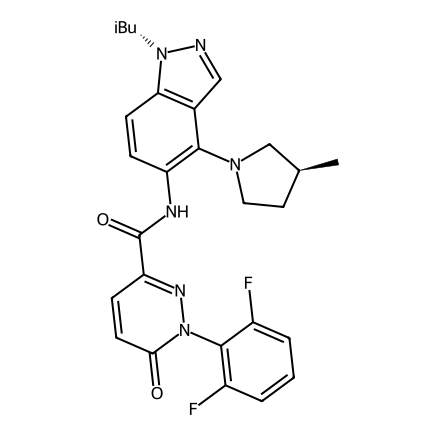 CC[C@@H](C)n1ncc2c(N3CC[C@H](C)C3)c(NC(=O)c3ccc(=O)n(-c4c(F)cccc4F)n3)ccc21